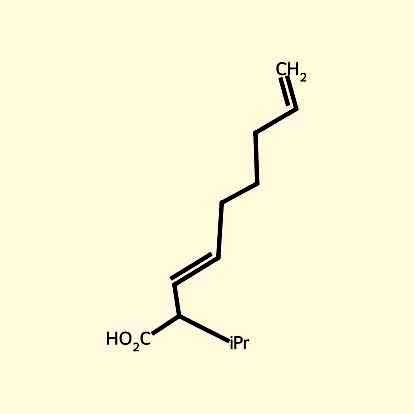 C=CCCCC=CC(C(=O)O)C(C)C